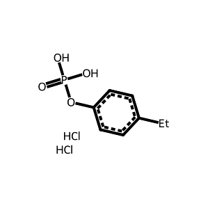 CCc1ccc(OP(=O)(O)O)cc1.Cl.Cl